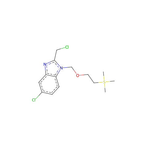 CS(C)(C)CCOCn1c(CCl)nc2cc(Cl)ccc21